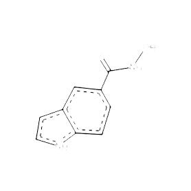 O=C(NO)c1ccc2[nH]ccc2c1